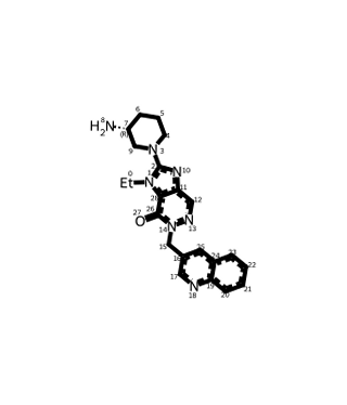 CCn1c(N2CCC[C@@H](N)C2)nc2cnn(Cc3cnc4ccccc4c3)c(=O)c21